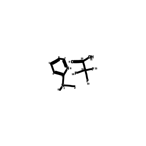 CN(C)c1ccccn1.O=C(O)C(F)(F)F